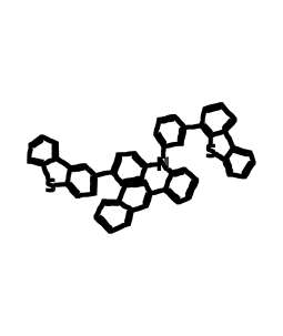 c1cc(-c2cccc3c2sc2ccccc23)cc(N(c2ccc(-c3ccc4sc5ccccc5c4c3)cc2)c2ccccc2-c2ccc3ccccc3c2)c1